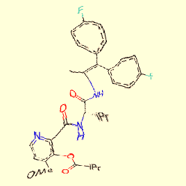 COc1ccnc(C(=O)N[C@H](C(=O)NC(C)=C(c2ccc(F)cc2)c2ccc(F)cc2)C(C)C)c1OC(=O)C(C)C